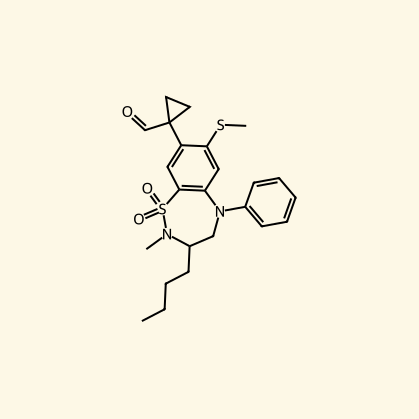 CCCCC1CN(c2ccccc2)c2cc(SC)c(C3(C=O)CC3)cc2S(=O)(=O)N1C